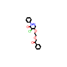 O=C(COCCOc1cnn(-c2ccccc2)c(=O)c1Cl)c1ccccc1